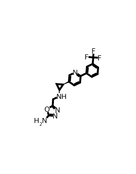 Nc1nnc(CN[C@@H]2C[C@H]2c2ccc(-c3cccc(C(F)(F)F)c3)nc2)o1